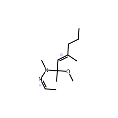 C/C=N\N(C)C(C)(/C=C(\C)CCC)OC